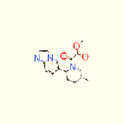 COC(=O)C(=O)N1CC(C)CCC1c1ccc2nccn2c1